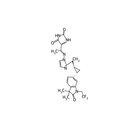 C=C(c1nccn1/N=C(\C)c1c[nH]c(=O)[nH]c1=O)[C@H]1C[C@@H]1c1ccc2c(c1)N(CC(F)(F)F)C(=O)C2(C)C